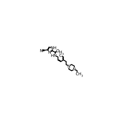 C/C=C(\C=C/CNC(=O)c1nc(C#N)c[nH]1)CCN1CCN(CC)CC1